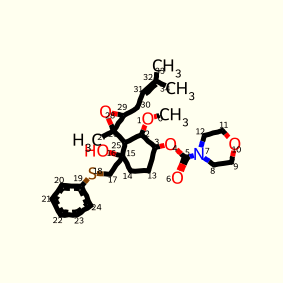 COC1C(OC(=O)N2CCOCC2)CCC(O)(CSc2ccccc2)C1C1(C)OC1CC=C(C)C